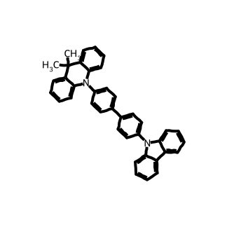 CC1(C)c2ccccc2N(c2ccc(-c3ccc(-n4c5ccccc5c5ccccc54)cc3)cc2)c2ccccc21